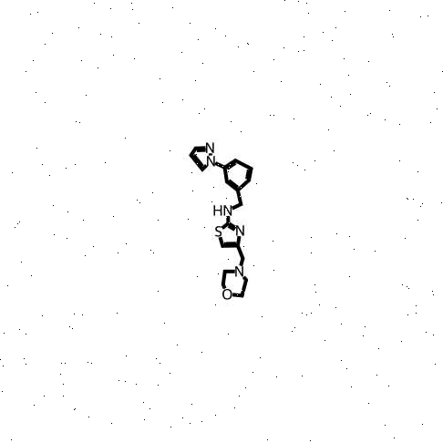 c1cc(CNc2nc(CN3CCOCC3)cs2)cc(-n2cccn2)c1